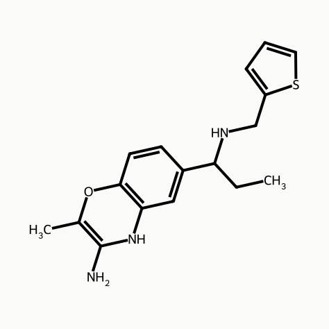 CCC(NCc1cccs1)c1ccc2c(c1)NC(N)=C(C)O2